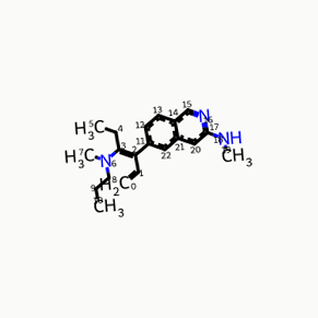 C=C/C(=C(/CC)N(C)CCC)c1ccc2cnc(NC)cc2c1